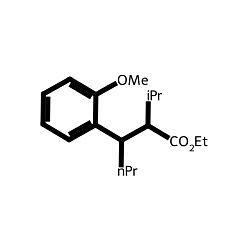 CCCC(c1ccccc1OC)C(C(=O)OCC)C(C)C